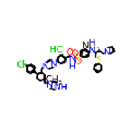 CC1(CN2CCNCC2)CCC(c2ccc(Cl)cc2)=C(CN2CCN(c3ccc(C(=O)NS(=O)(=O)c4ccc(NC(CCN5CCCC5)CSc5ccccc5)c([N+](=O)[O-])c4)cc3)CC2)C1.Cl